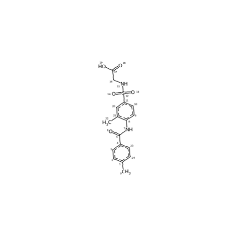 Cc1ccc(C(=O)Nc2ccc(S(=O)(=O)NCC(=O)O)cc2C)cc1